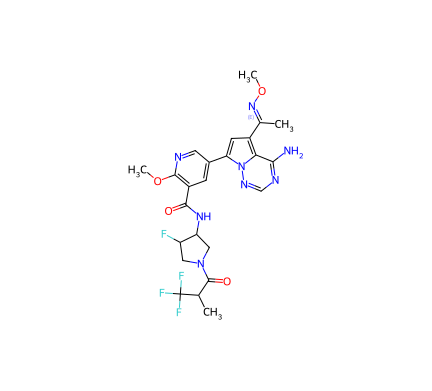 CO/N=C(\C)c1cc(-c2cnc(OC)c(C(=O)NC3CN(C(=O)C(C)C(F)(F)F)CC3F)c2)n2ncnc(N)c12